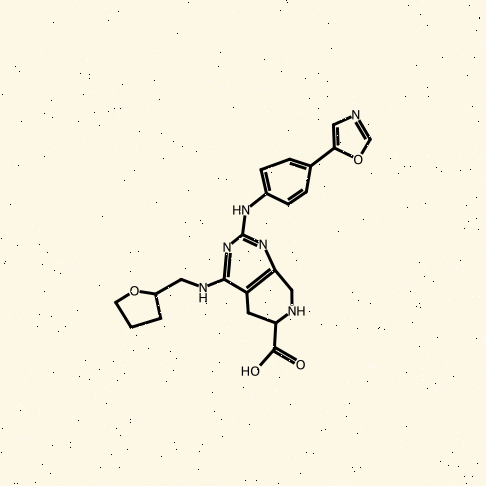 O=C(O)C1Cc2c(nc(Nc3ccc(-c4cnco4)cc3)nc2NCC2CCCO2)CN1